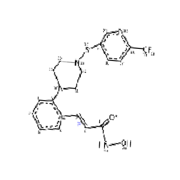 O=C(/C=C/c1ccccc1N1CCN(Sc2ccc(C(F)(F)F)nc2)CC1)NO